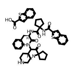 NC1(C(=O)C(NC(=O)[C@@H](Cc2ccccc2)NC(=O)C2(NC(=O)c3cc4ccccc4s3)CCCC2)C2CCNCC2)CCCC1.O=C(O)c1cc2ccccc2s1